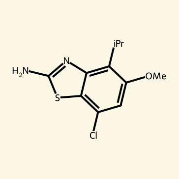 COc1cc(Cl)c2sc(N)nc2c1C(C)C